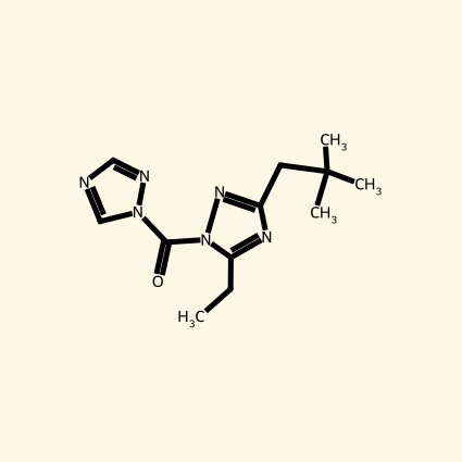 CCc1nc(CC(C)(C)C)nn1C(=O)n1cncn1